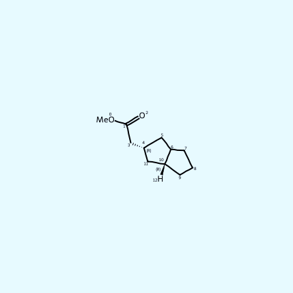 COC(=O)C[C@@H]1CC2CCC[C@@H]2C1